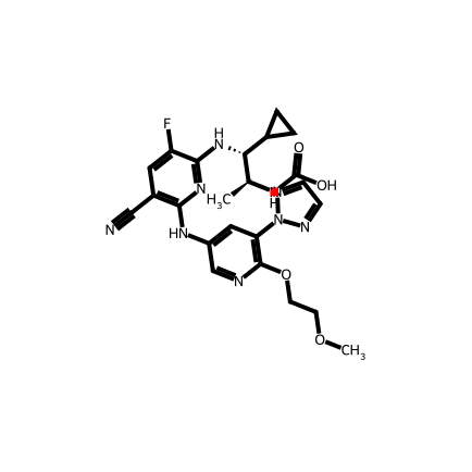 COCCOc1ncc(Nc2nc(N[C@H](C3CC3)[C@H](C)NC(=O)O)c(F)cc2C#N)cc1-n1nccn1